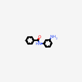 Nc1cccc(NC(=O)c2cc[c]cc2)c1